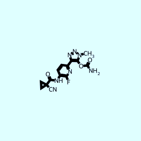 Cn1nnc(-c2ccc(NC(=O)C3(C#N)CC3)c(F)n2)c1OC(N)=O